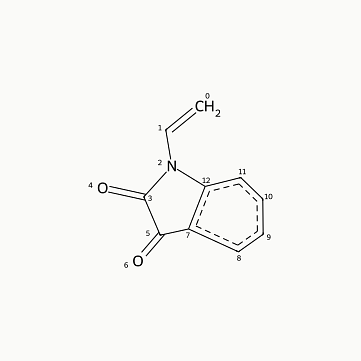 C=CN1C(=O)C(=O)c2ccccc21